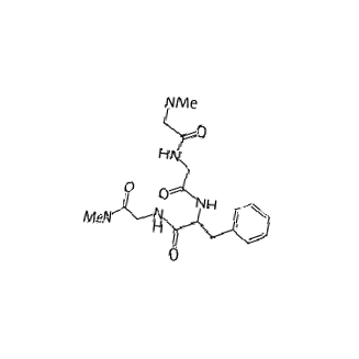 CNCC(=O)NCC(=O)NC(Cc1ccccc1)C(=O)NCC(=O)NC